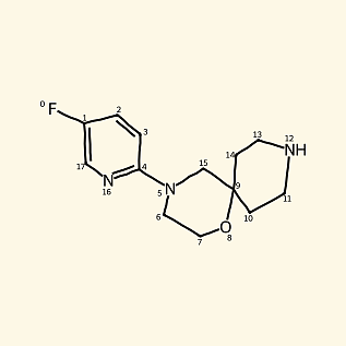 Fc1ccc(N2CCOC3(CCNCC3)C2)nc1